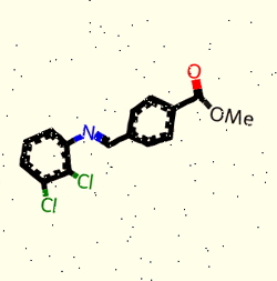 COC(=O)c1ccc(C=Nc2cccc(Cl)c2Cl)cc1